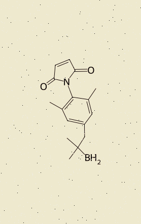 BC(C)(C)Cc1cc(C)c(N2C(=O)C=CC2=O)c(C)c1